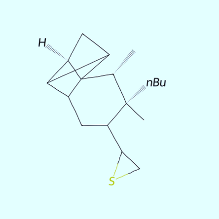 CCCC[C@]1(C)C(C2CS2)CC2C3C4C[C@H]3C24[C@@H]1C